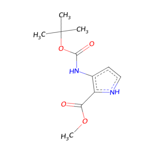 COC(=O)c1[nH]ccc1NC(=O)OC(C)(C)C